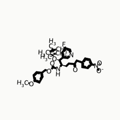 COc1ccc(COC(=O)N[C@H](CCC(=O)Cc2ccc([N+](=O)[O-])cc2)[C@H](O[Si](C)(C)C(C)(C)C)c2cncc(F)c2)cc1